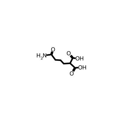 NC(=O)CCCC(C(=O)O)C(=O)O